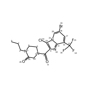 CCCN1CCN(C(=O)c2nc3c(C(F)(F)F)cc(Br)cn3c2Cl)CC1=O